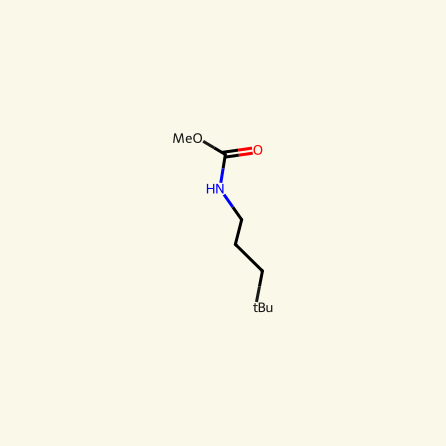 COC(=O)NCCCC(C)(C)C